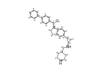 [O-][S+](c1ccc(-c2ccccc2)cc1)N1CCc2cc(C3CC3NCC3CCNCC3)ccc21